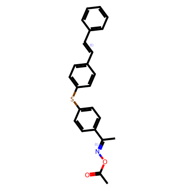 CC(=O)O/N=C(\C)c1ccc(Sc2ccc(/C=C/c3ccccc3)cc2)cc1